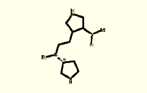 CCN(CC)C1CNCC1CCN(CC)[C@@H]1CCNC1